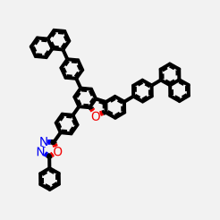 c1ccc(-c2nnc(-c3ccc(-c4cc(-c5ccc(-c6cccc7ccccc67)cc5)cc5c4oc4ccc(-c6ccc(-c7cccc8ccccc78)cc6)cc45)cc3)o2)cc1